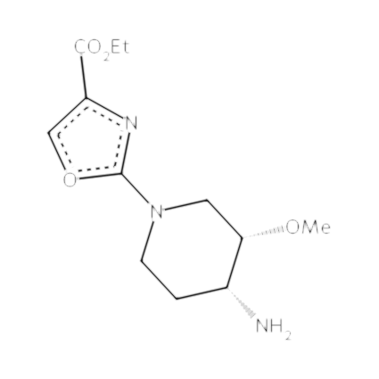 CCOC(=O)c1coc(N2CC[C@@H](N)[C@@H](OC)C2)n1